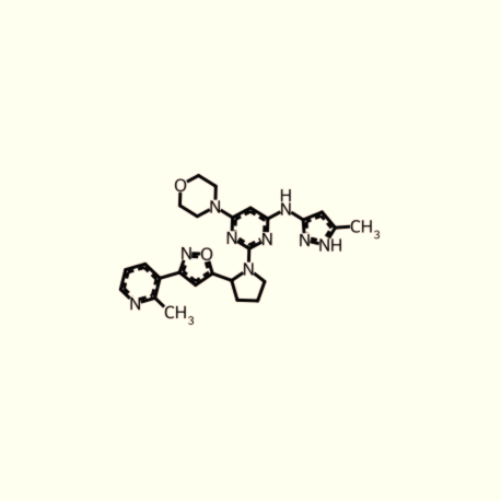 Cc1cc(Nc2cc(N3CCOCC3)nc(N3CCCC3c3cc(-c4cccnc4C)no3)n2)n[nH]1